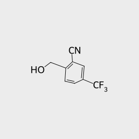 N#Cc1cc(C(F)(F)F)ccc1CO